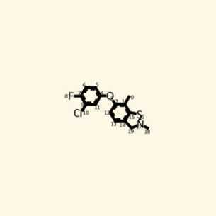 Cc1c(Oc2ccc(F)c(Cl)c2)ccc2c1SN(C)C2